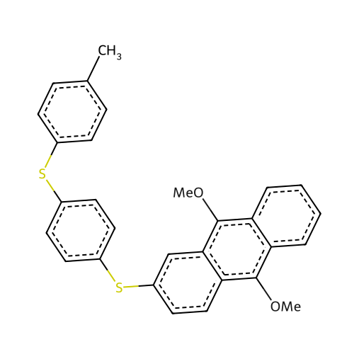 COc1c2ccccc2c(OC)c2cc(Sc3ccc(Sc4ccc(C)cc4)cc3)ccc12